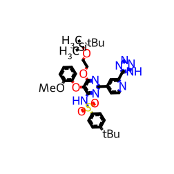 COc1ccccc1Oc1c(NS(=O)(=O)c2ccc(C(C)(C)C)cc2)nc(-c2ccnc(-c3nnn[nH]3)c2)nc1OCCO[Si](C)(C)C(C)(C)C